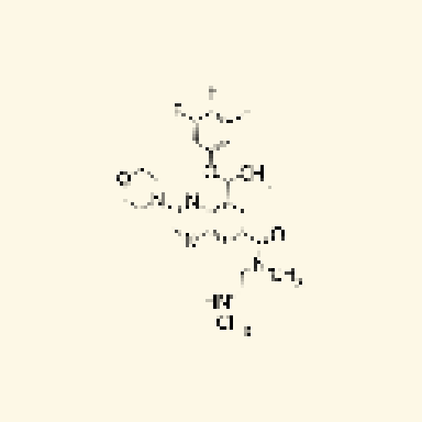 CNCCN(C)C(=O)c1cc(C(C)Oc2cc(F)c(F)c(F)c2)c2nc(N3CCOCC3)cnc2c1